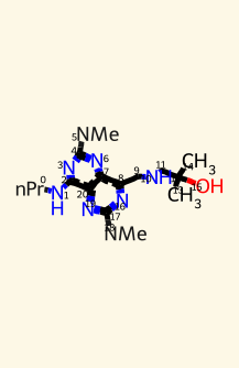 CCCNc1nc(NC)nc2c(CNCC(C)(C)O)nc(NC)nc12